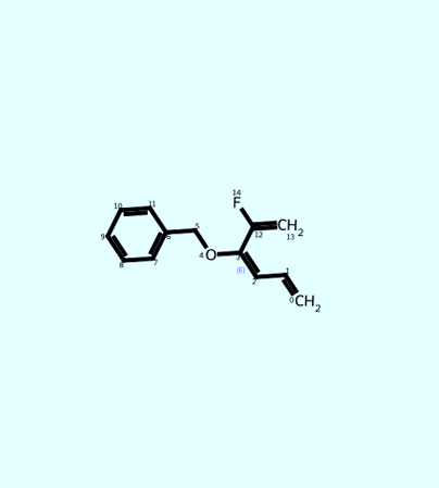 C=C/C=C(/OCc1ccccc1)C(=C)F